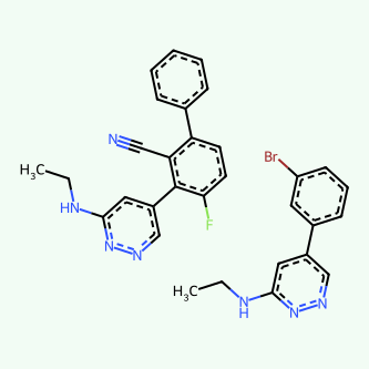 CCNc1cc(-c2c(F)ccc(-c3ccccc3)c2C#N)cnn1.CCNc1cc(-c2cccc(Br)c2)cnn1